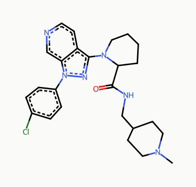 CN1CCC(CNC(=O)C2CCCCN2c2nn(-c3ccc(Cl)cc3)c3cnccc23)CC1